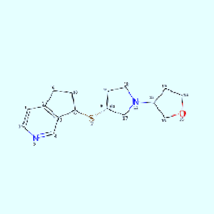 c1cc2c(cn1)C(S[C@@H]1CCN(C3CCOC3)C1)CC2